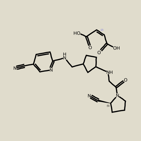 N#Cc1ccc(NCC2CCC(NCC(=O)N3CCC[C@H]3C#N)C2)nc1.O=C(O)/C=C\C(=O)O